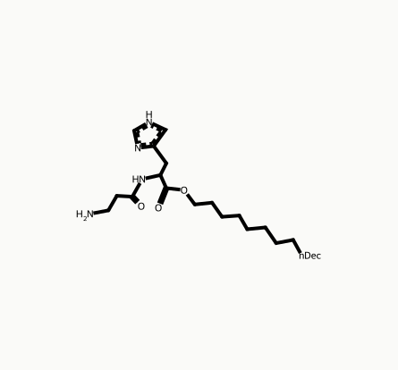 CCCCCCCCCCCCCCCCCCOC(=O)C(Cc1c[nH]cn1)NC(=O)CCN